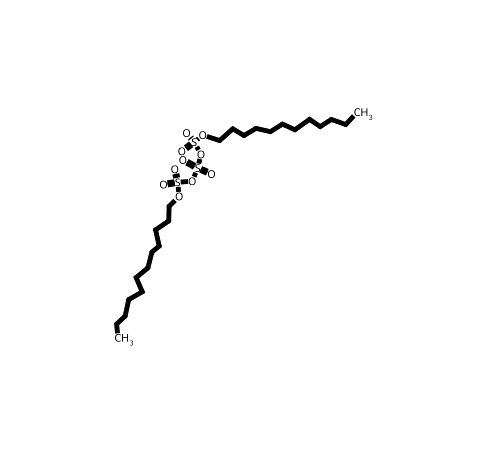 CCCCCCCCCCCCOS(=O)(=O)OS(=O)(=O)OS(=O)(=O)OCCCCCCCCCCCC